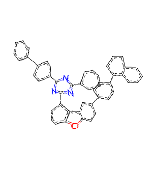 c1ccc(-c2ccc(-c3nc(-c4ccccc4)nc(-c4cccc5oc6ccc(-c7ccc(-c8cccc9ccccc89)cc7)cc6c45)n3)cc2)cc1